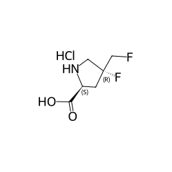 Cl.O=C(O)[C@@H]1C[C@](F)(CF)CN1